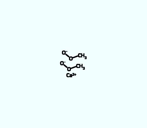 CO[O-].CO[O-].[Ca+2]